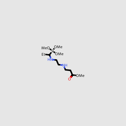 CCC(NCCNCCC(=O)OC)[Si](OC)(OC)OC